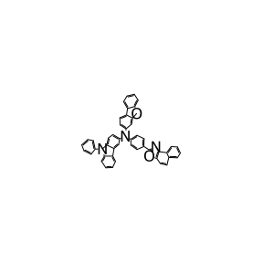 c1ccc(-n2c3ccccc3c3cc(N(c4ccc(-c5nc6c(ccc7ccccc76)o5)cc4)c4ccc5c(c4)oc4ccccc45)ccc32)cc1